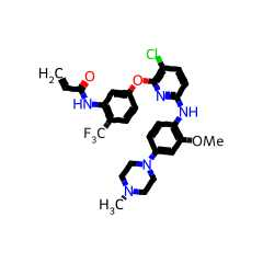 C=CC(=O)Nc1cc(Oc2nc(Nc3ccc(N4CCN(C)CC4)cc3OC)ccc2Cl)ccc1C(F)(F)F